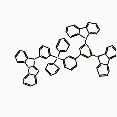 c1ccc([Si](c2ccccc2)(c2cccc(-c3cc(-n4c5ccccc5c5ccccc54)nc(-n4c5ccccc5c5ccccc54)c3)c2)c2cccc(-n3c4ccccc4n4c5ccccc5nc34)c2)cc1